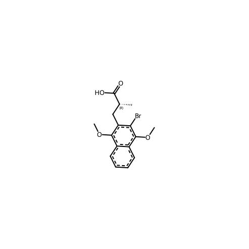 COc1c(Br)c(C[C@@H](C)C(=O)O)c(OC)c2ccccc12